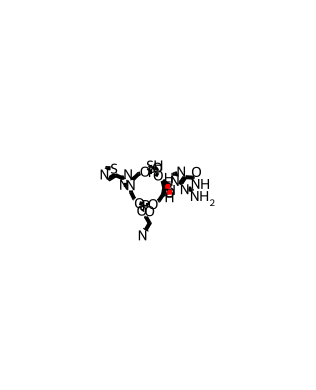 N#CCCOP1(=O)OCCn2nc(-c3cncs3)nc2COP(=O)(S)O[C@@H]2[C@H](F)[C@@H](CO1)O[C@H]2n1cnc2c(=O)[nH]c(N)nc21